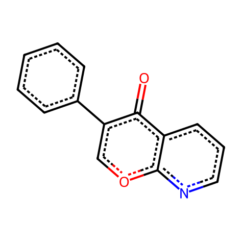 O=c1c(-c2ccccc2)coc2ncccc12